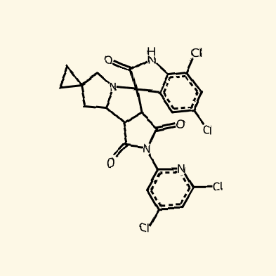 O=C1C2C3CC4(CC4)CN3C3(C(=O)Nc4c(Cl)cc(Cl)cc43)C2C(=O)N1c1cc(Cl)cc(Cl)n1